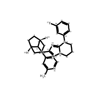 Cc1cc(N2C[C@H]3CC[C@@H](C2)C3Nc2nc3n(n2)CCCN3c2cccc(F)c2)ncn1